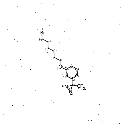 FC(F)(F)C1(c2cccc(OCCCCCCBr)c2)N=N1